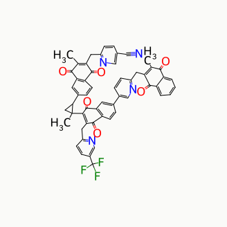 CC1=C(Cc2ccc(-c3ccc4c(c3)C(=O)C(C3(C)CC3c3ccc5c(c3)C(=O)C(C)=C(Cc3ccc(C#N)cn3)C5=O)=C(Cc3ccc(C(F)(F)F)cn3)C4=O)cn2)C(=O)c2ccccc2C1=O